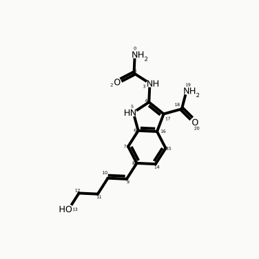 NC(=O)Nc1[nH]c2cc(C=CCCO)ccc2c1C(N)=O